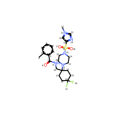 Cc1ccccc1C(=O)NCC1(N2CCN(S(=O)(=O)c3cn(C)cn3)CC2)CCC(F)(F)CC1